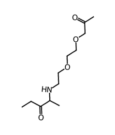 CCC(=O)C(C)NCCOCCOCC(C)=O